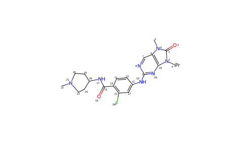 CC(C)n1c(=O)n(C)c2cnc(Nc3ccc(C(=O)NC4CCN(C)CC4)c(F)c3)nc21